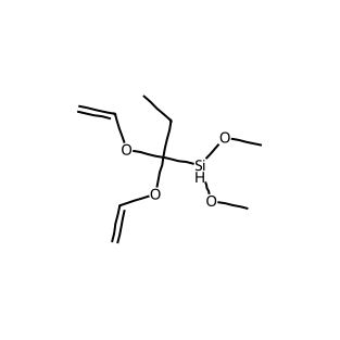 C=COC(CC)(OC=C)[SiH](OC)OC